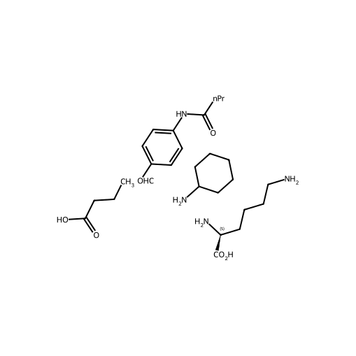 CCCC(=O)Nc1ccc(C=O)cc1.CCCC(=O)O.NC1CCCCC1.NCCCC[C@H](N)C(=O)O